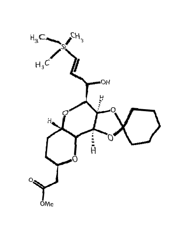 COC(=O)C[C@H]1CC[C@@H]2O[C@@H](C(O)/C=C/[Si](C)(C)C)[C@H]3OC4(CCCCC4)O[C@H]3C2O1